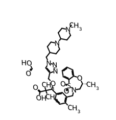 Cc1ccc(C(OCc2cn(CC3CCN(C4CCN(C)CC4)CC3)nn2)C(C)(C)C(=O)O)cc1CN1C[C@@H](C)Oc2ccccc2S1(=O)=O.O=CO